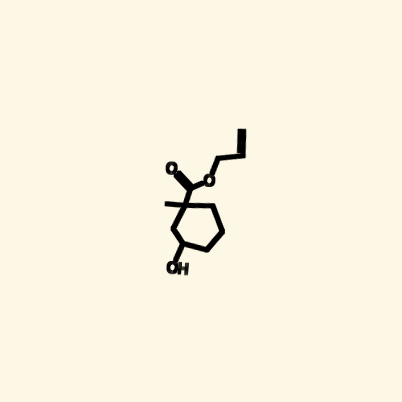 C=CCOC(=O)C1(C)CCCC(O)C1